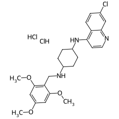 COc1cc(OC)c(CNC2CCC(Nc3ccnc4cc(Cl)ccc34)CC2)c(OC)c1.Cl.Cl